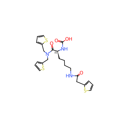 O=C(O)N[C@@H](CCCCNC(=O)Cc1cccs1)C(=O)N(Cc1cccs1)Cc1cccs1